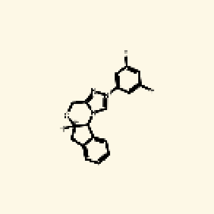 Fc1cc(F)cc(-[n+]2cn3c(n2)CO[C@H]2Cc4ccccc4C23)c1